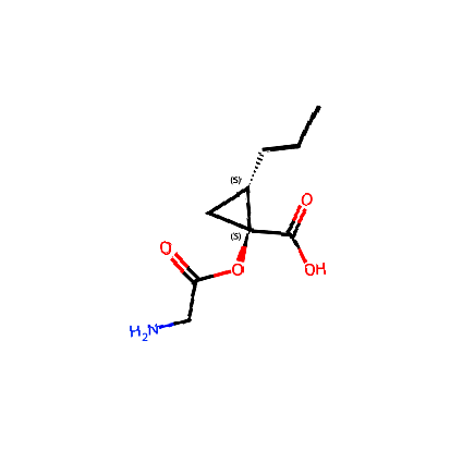 CCC[C@H]1C[C@@]1(OC(=O)CN)C(=O)O